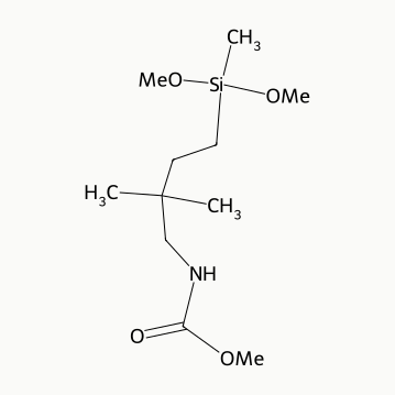 COC(=O)NCC(C)(C)CC[Si](C)(OC)OC